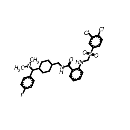 CN(C)C(c1ccc(F)cc1)C1CCC(CNC(=O)c2ccccc2NCS(=O)(=O)c2ccc(Cl)c(Cl)c2)CC1